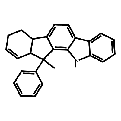 CC1(c2ccccc2)c2c(ccc3c2[nH]c2ccccc23)C2CCC=CC21